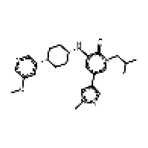 COc1cncc([C@H]2CC[C@@H](Nc3cc(-c4cnn(C)c4)cn(CC(C)C)c3=O)CC2)c1